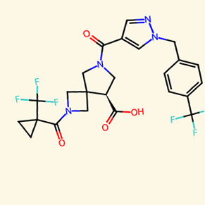 O=C(O)[C@@H]1CN(C(=O)c2cnn(Cc3ccc(C(F)(F)F)cc3)c2)CC12CN(C(=O)C1(C(F)(F)F)CC1)C2